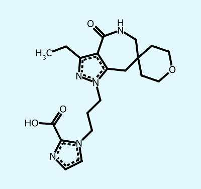 CCc1nn(CCCn2ccnc2C(=O)O)c2c1C(=O)NCC1(CCOCC1)C2